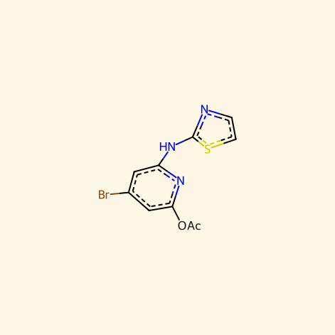 CC(=O)Oc1cc(Br)cc(Nc2nccs2)n1